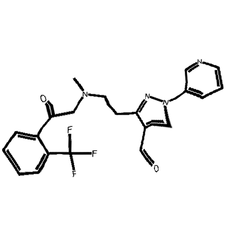 CN(CCc1nn(-c2cccnc2)cc1C=O)CC(=O)c1ccccc1C(F)(F)F